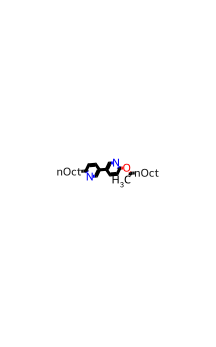 CCCCCCCCc1ccc(-c2ccc(OC(C)CCCCCCCC)nc2)cn1